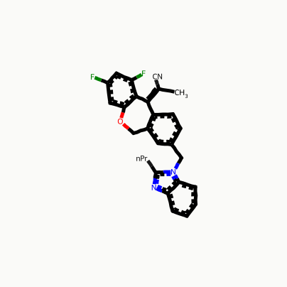 CCCc1nc2ccccc2n1Cc1ccc2c(c1)COc1cc(F)cc(F)c1/C2=C(/C)C#N